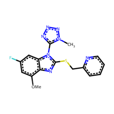 COc1cc(F)cc2c1nc(SCc1ccccn1)n2-c1nnnn1C